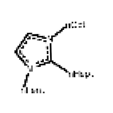 CCCCCCCCn1cc[n+](CCCCC)c1CCCCCCC